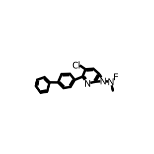 CN(F)N1c2cc(Cl)c(-c3ccc(-c4ccccc4)cc3)nc21